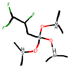 C[SiH](C)O[Si](CC(F)C(F)F)(O[SiH](C)C)O[SiH](C)C